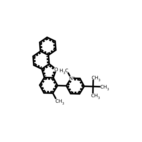 Cc1ccc2c(oc3c4ccccc4ccc23)c1-c1ccc(C(C)(C)C)c[n+]1C